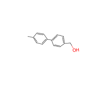 Cc1ccc(-c2ccc(CO)cc2)cc1